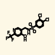 O=S(=O)(NCc1cnc(C(F)(F)F)cc1O)c1ccc(Cl)c(Cl)c1